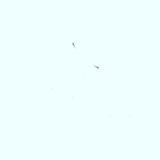 N#CC1C[C@@H]2C[C@@H]2N1C(=O)[C@@H](N)C12CC3CC=C1C(O)(C3)C2